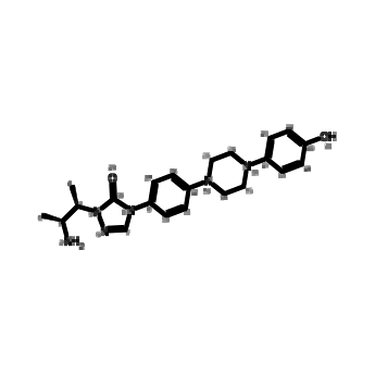 C[C@H](N)[C@@H](C)n1ncn(-c2ccc(N3CCN(c4ccc(O)cc4)CC3)cc2)c1=O